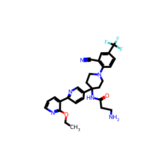 CCOc1ncccc1-c1ccc(C2(NC(=O)CCN)CCN(c3ccc(C(F)(F)F)cc3C#N)CC2)cn1